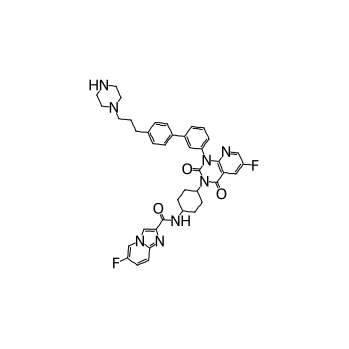 O=C(NC1CCC(n2c(=O)c3cc(F)cnc3n(-c3cccc(-c4ccc(CCCN5CCNCC5)cc4)c3)c2=O)CC1)c1cn2cc(F)ccc2n1